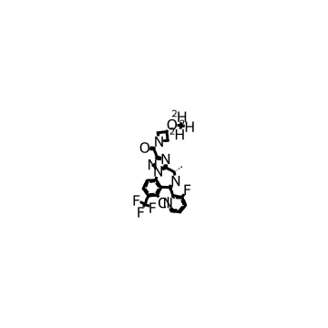 [2H]C([2H])([2H])OC1CN(C(=O)c2nc3n(n2)-c2ccc(C(F)(F)F)c(Cl)c2C(c2ncccc2F)=N[C@H]3C)C1